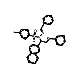 Cc1ccc(S(=O)(=O)N(N=Cc2ccccc2)C(C[Se]c2ccccc2)c2ccc3ccccc3c2)cc1